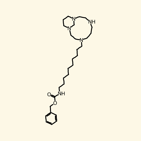 O=C(NCCCCCCCCCCN1CCCNCCN2CCCN(CC1)C2)OCc1ccccc1